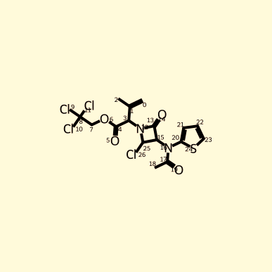 C=C(C)C(C(=O)OCC(Cl)(Cl)Cl)N1C(=O)C(N(C(C)=O)c2cccs2)C1Cl